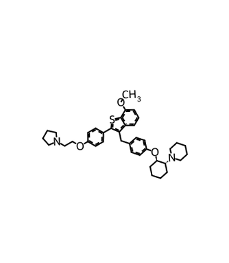 COc1cccc2c(Cc3ccc(O[C@@H]4CCCC[C@H]4N4CCCCC4)cc3)c(-c3ccc(OCCN4CCCC4)cc3)sc12